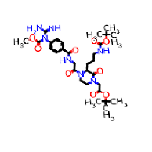 COC(=O)N(C(=N)N)c1ccc(C(=O)NCC(=O)N2CCN(CC(=O)OC(C)(C)C)C(=O)C2CCCNC(=O)OC(C)(C)C)cc1